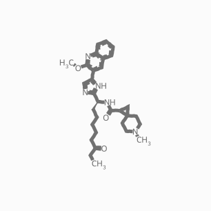 CCC(=O)CCCCC[C@H](NC(=O)C1CC12CCN(C)CC2)c1ncc(-c2cc3ccccc3nc2OC)[nH]1